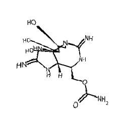 N=C1N[C@H]2[C@H](COC(N)=O)NC(=N)N3C[C@H](O)C(O)(O)[C@]23N1